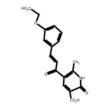 Cc1[nH]c(=O)c(C(=O)O)cc1C(=O)/C=C/c1cccc(OCC(=O)O)c1